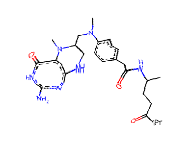 CC(CCC(=O)C(C)C)NC(=O)c1ccc(N(C)CC2CNc3nc(N)[nH]c(=O)c3N2C)cc1